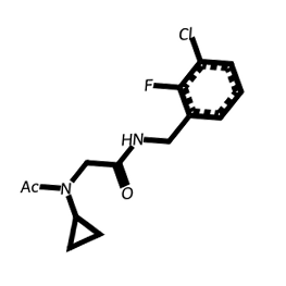 CC(=O)N(CC(=O)NCc1cccc(Cl)c1F)C1CC1